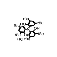 CC(C)(C)c1cc(N(c2cc(C(C)(C)C)cc(C(C)(C)C)c2O)c2cc(C(C)(C)C)cc(C(C)(C)C)c2O)c(O)c(C(C)(C)C)c1.Cl